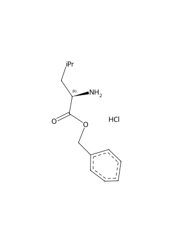 CC(C)C[C@@H](N)C(=O)OCc1ccccc1.Cl